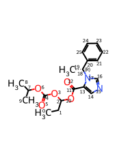 CCC(OC(=O)OC(C)C)OC(=O)c1cncn1[C@H](C)c1ccccc1